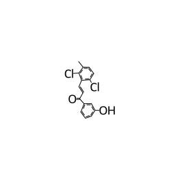 Cc1ccc(Cl)c(/C=C/C(=O)c2cccc(O)c2)c1Cl